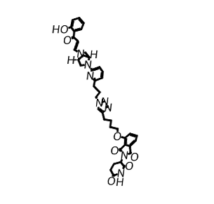 O=C1CCC(N2C(=O)c3cccc(OCCCCc4cn(CCCc5cccc(N6C[C@H]7C[C@@H]6CN7/C=C/C(=O)c6ccccc6O)n5)nn4)c3C2=O)C(=O)N1